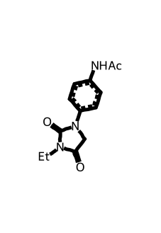 CCN1C(=O)CN(c2ccc(NC(C)=O)cc2)C1=O